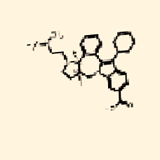 CN(C)CCN1CC[C@H]2Cn3c(c(C4CCCCC4)c4ccc(C(=O)O)cc43)-c3ccccc3[C@@H]21